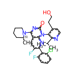 CC(C)c1nccc(CCO)c1-n1c(=O)nc(N2CCCC[C@@H]2C)c2cc(F)c(-c3c(F)cccc3Cl)nc21